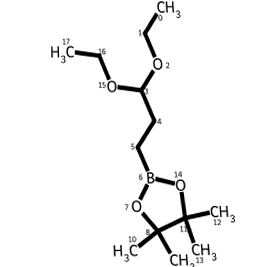 CCOC(CCB1OC(C)(C)C(C)(C)O1)OCC